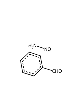 NN=O.O=Cc1ccccc1